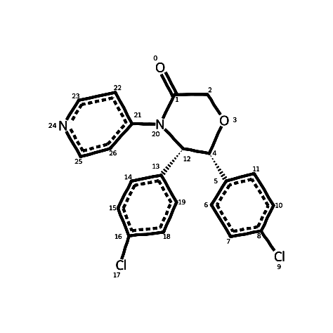 O=C1CO[C@H](c2ccc(Cl)cc2)[C@H](c2ccc(Cl)cc2)N1c1ccncc1